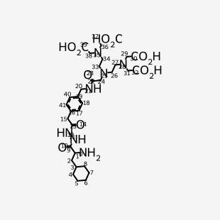 NC(CC1CCCCC1)C(=O)NNC(=O)Cc1ccc(CNC(=O)CN(CCN(CC(=O)O)CC(=O)O)CCN(CC(=O)O)CC(=O)O)cc1